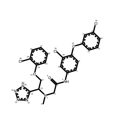 CN(CC(=O)Nc1ccc(Oc2cccc(Cl)c2)c(Cl)c1)C(COc1ccccc1Cl)c1nnn[nH]1